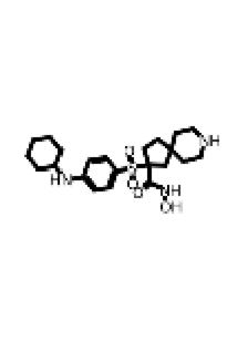 O=C(NO)C1(S(=O)(=O)c2ccc(NC3CCCCC3)cc2)CCC2(CCNCC2)C1